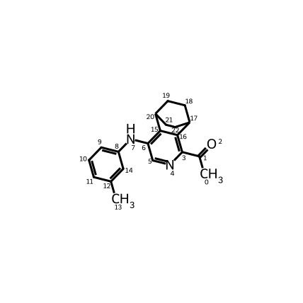 CC(=O)c1ncc(Nc2cccc(C)c2)c2c1C1CCC2CC1